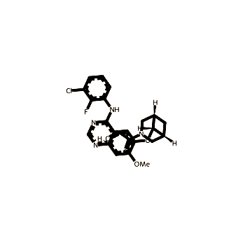 C=CC(=O)N1C[C@H]2C[C@@H](C1)[C@H]2Oc1cc2c(Nc3cccc(Cl)c3F)ncnc2cc1OC